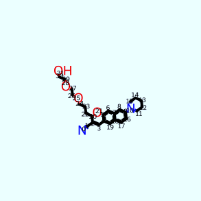 N#CC(=Cc1ccc2cc(N3CCCCC3)ccc2c1)C(=O)CCCOCCOCCO